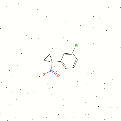 O=[N+]([O-])C1(c2cccc(Br)c2)CC1